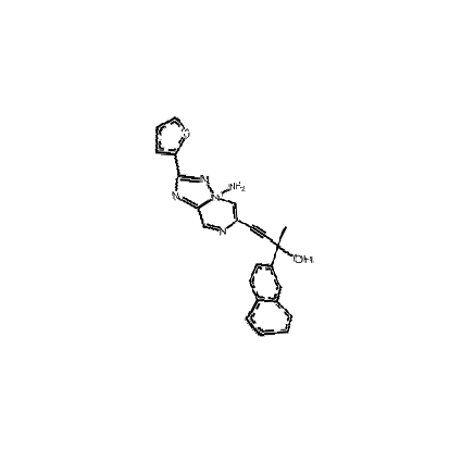 CC(O)(C#CC1=C[N+]2(N)N=C(c3ccco3)N=C2C=N1)c1ccc2ccccc2c1